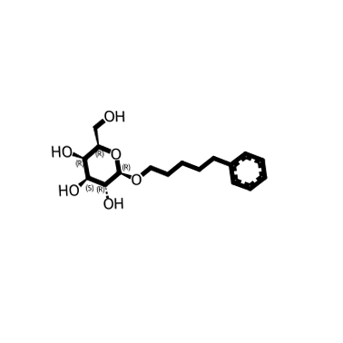 OC[C@H]1O[C@@H](OCCCCCc2ccccc2)[C@H](O)[C@@H](O)[C@H]1O